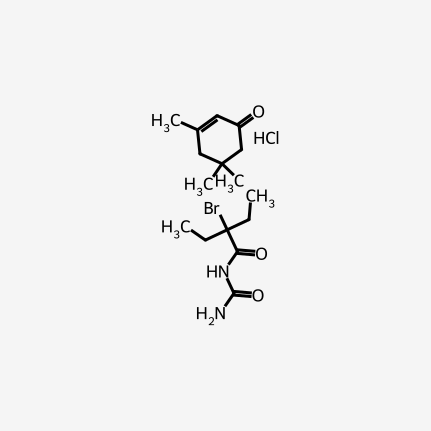 CC1=CC(=O)CC(C)(C)C1.CCC(Br)(CC)C(=O)NC(N)=O.Cl